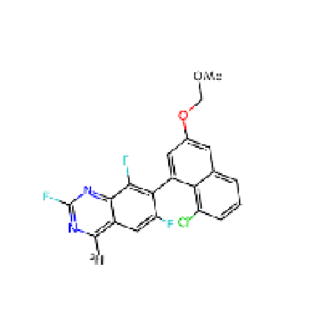 [2H]c1nc(F)nc2c(F)c(-c3cc(OCOC)cc4cccc(Cl)c34)c(F)cc12